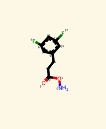 NOC(=O)CCc1cc(F)cc(F)c1